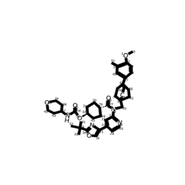 COc1ccc(C23CCC(CN(c4cc(-c5coc(C(C)(C)C)n5)ccn4)C(=O)[C@H]4CC[C@H](OC(=O)NC5CCOCC5)CC4)(CC2)CC3)cc1C